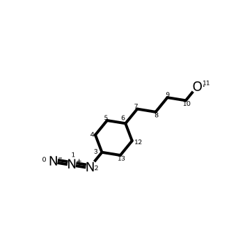 [N-]=[N+]=NC1CCC(CCCC[O])CC1